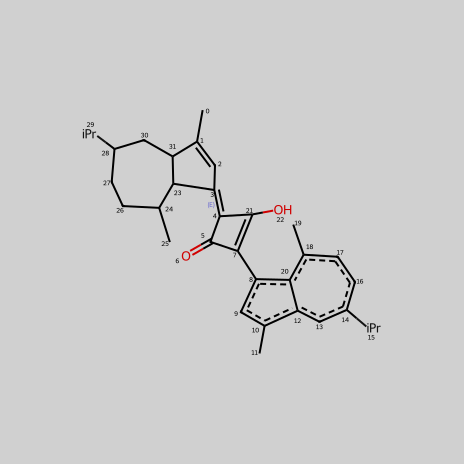 CC1=C/C(=C2/C(=O)C(c3cc(C)c4cc(C(C)C)ccc(C)c3-4)=C2O)C2C(C)CCC(C(C)C)CC12